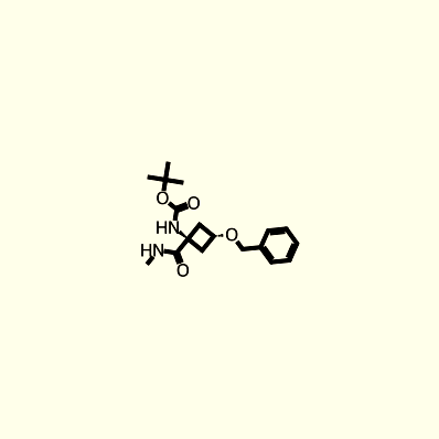 CNC(=O)[C@]1(NC(=O)OC(C)(C)C)C[C@H](OCc2ccccc2)C1